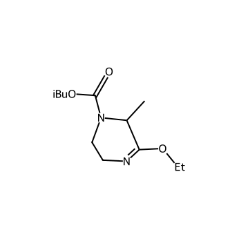 CCOC1=NCCN(C(=O)OCC(C)C)C1C